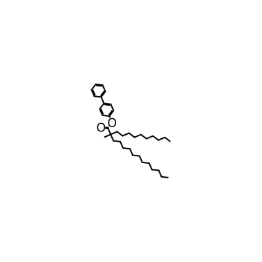 CCCCCCCCCCCCC(C)(CCCCCCCCCC)C(=O)Oc1ccc(-c2ccccc2)cc1